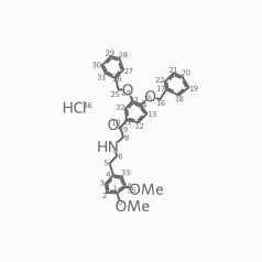 COc1ccc(CCNCC(=O)c2ccc(OCc3ccccc3)c(OCc3ccccc3)c2)cc1OC.Cl